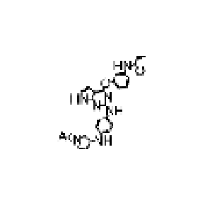 C=CC(=O)Nc1cccc(Oc2nc(Nc3ccc(N[C@H]4CCN(C(C)=O)C4)cc3)nc3[nH]ccc23)c1